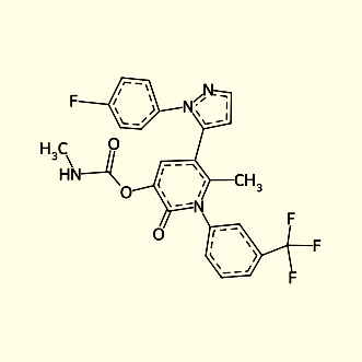 CNC(=O)Oc1cc(-c2ccnn2-c2ccc(F)cc2)c(C)n(-c2cccc(C(F)(F)F)c2)c1=O